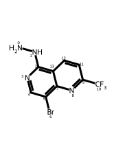 NNc1ncc(Br)c2nc(C(F)(F)F)ccc12